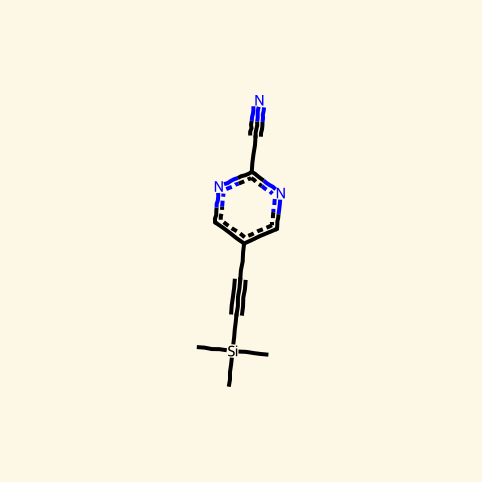 C[Si](C)(C)C#Cc1cnc(C#N)nc1